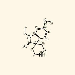 CCN1C(=O)C2(CCNCC2)c2ccc(OC)cc21